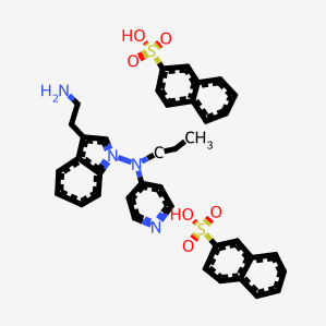 CCCN(c1ccncc1)n1cc(CCN)c2ccccc21.O=S(=O)(O)c1ccc2ccccc2c1.O=S(=O)(O)c1ccc2ccccc2c1